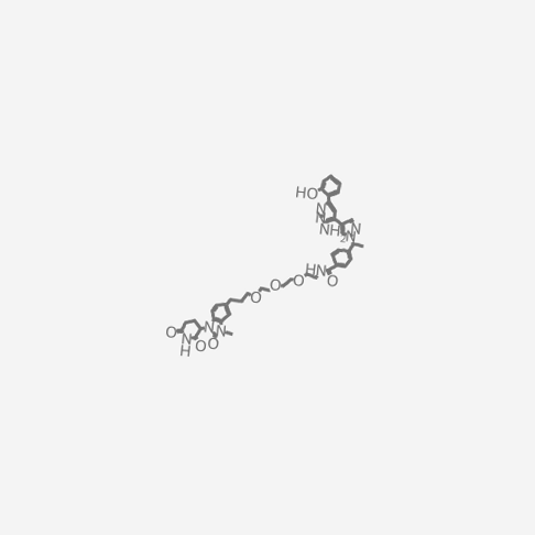 CC(c1ccc(C(=O)NCCOCCOCCOCCCc2ccc3c(c2)n(C)c(=O)n3C2CCC(=O)NC2=O)cc1)n1cc(-c2cc(-c3ccccc3O)nnc2N)cn1